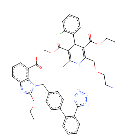 CCOC(=O)C1=C(COCCN)NC(C)=C(C(=O)OC)C1c1ccccc1Cl.CCOc1nc2cccc(C(=O)O)c2n1Cc1ccc(-c2ccccc2-c2nnn[nH]2)cc1